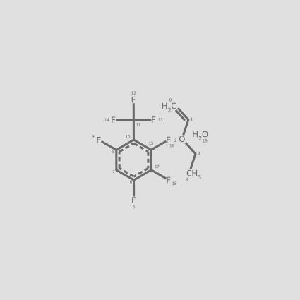 C=COCC.Fc1cc(F)c(C(F)(F)F)c(F)c1F.O